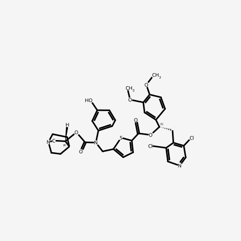 COc1ccc([C@H](Cc2c(Cl)cncc2Cl)OC(=O)c2ccc(CN(C(=O)O[C@H]3CN4CCC3CC4)c3cccc(O)c3)s2)cc1OC